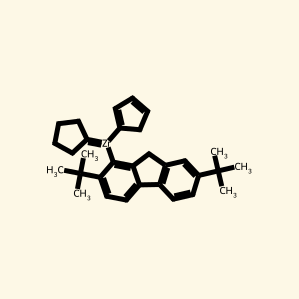 CC(C)(C)c1ccc2c(c1)Cc1c-2ccc(C(C)(C)C)[c]1[Zr]([C]1=CC=CC1)=[C]1CCCC1